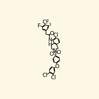 O=C(Cc1ccc(C(F)(F)F)c(F)c1)Nc1c(Cl)ccc2c1CCN(S(=O)(=O)c1ccc(Oc3ccc(Cl)c(Cl)c3)cc1)C2